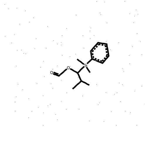 C[C](C)C(O[C]=O)[Si](C)(C)c1ccccc1